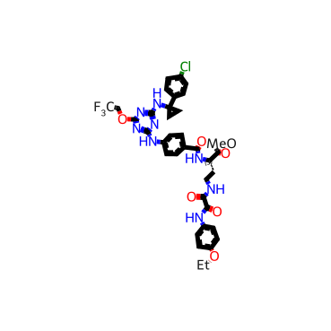 CCOc1ccc(NC(=O)C(=O)NCC[C@H](NC(=O)c2ccc(Nc3nc(NC4(c5ccc(Cl)cc5)CC4)nc(OCC(F)(F)F)n3)cc2)C(=O)OC)cc1